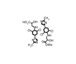 COC(=O)C(O)CNc1c(Cl)cc(-n2cnc(C)n2)cc1Cl.Cc1ncn(-c2cc(Cl)c(NCC(O)C(=O)O)c(Cl)c2)n1